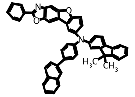 CC1(C)c2ccccc2-c2ccc(N(c3ccc(-c4ccc5ccccc5c4)cc3)c3ccc4oc5cc6nc(-c7ccccc7)oc6cc5c4c3)cc21